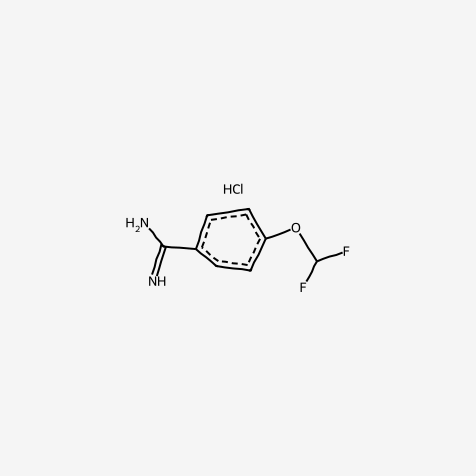 Cl.N=C(N)c1ccc(OC(F)F)cc1